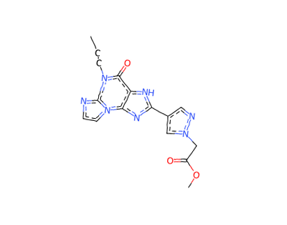 CCCn1c(=O)c2[nH]c(-c3cnn(CC(=O)OC)c3)nc2n2ccnc12